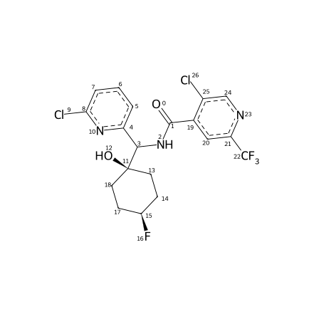 O=C(NC(c1cccc(Cl)n1)[C@]1(O)CC[C@@H](F)CC1)c1cc(C(F)(F)F)ncc1Cl